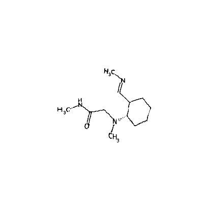 CN=CC1CCCC[C@@H]1N(C)CC(=O)NC